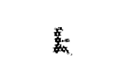 CCN1CCN(c2nc(-c3ccc(N4CCN(C(C)=O)CC4)cc3)cc3ccccc23)CC1.Cl.Cl.Cl